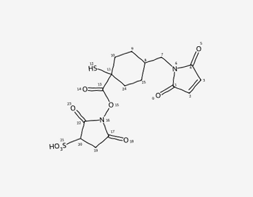 O=C1C=CC(=O)N1CC1CCC(S)(C(=O)ON2C(=O)CC(S(=O)(=O)O)C2=O)CC1